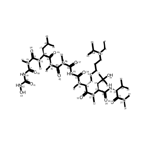 CCN(CCCSC[C@H](C(=O)N(C)[C@@H](CC(C)(C)O)C(=O)N[C@@H](C(=O)N(C)C)C(C)C)N(C)C(=O)NC(=O)N(C)C(=O)N(C)C(=O)[C@H](CC(C)C)N(C)C(=O)N(C)C(=O)NC(=O)NO)C(C)C